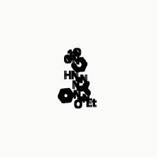 CCN1Cc2cnc(NC3CCCN(S(C)(=O)=O)C3)nc2N(c2ccccc2)C1=O